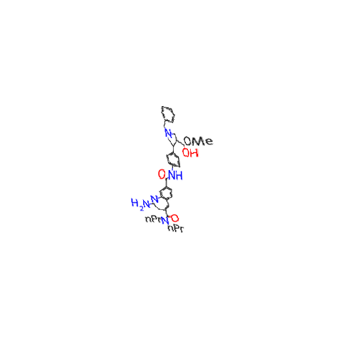 CCCN(CCC)C(=O)C1=Cc2ccc(C(=O)Nc3ccc([C@H]4CN(Cc5ccccc5)CC4C(O)OC)cc3)cc2N=C(N)C1